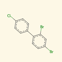 Clc1ccc(-c2ccc(Br)cc2Br)cc1